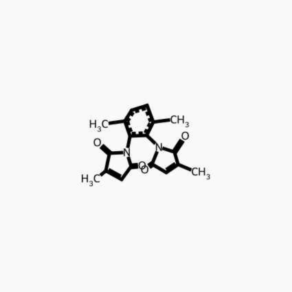 CC1=CC(=O)N(c2c(C)ccc(C)c2N2C(=O)C=C(C)C2=O)C1=O